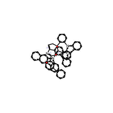 C1=C(c2ccc3oc4ccccc4c3c2-n2c3ccccc3c3cc4ccccc4cc32)/N=C(c2cccc(-c3ccccc3)c2)\N=C2\c3cccc4c5ccccc5n(c34)-c3ccccc3C2C/1